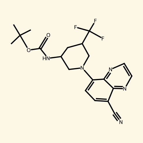 CC(C)(C)OC(=O)NC1CC(C(F)(F)F)CN(c2ccc(C#N)c3nccnc23)C1